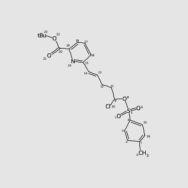 Cc1ccc(S(=O)(=O)OC(Cl)CC/C=C/c2cccc(C(=O)OC(C)(C)C)n2)cc1